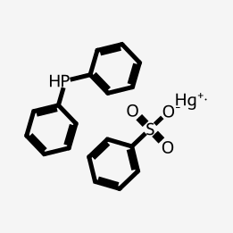 O=S(=O)([O-])c1ccccc1.[Hg+].c1ccc(Pc2ccccc2)cc1